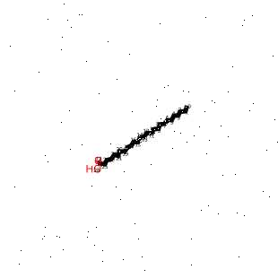 CCCCCCCCCCCCCCC[CH]CCCCCCCCCCC(=O)O